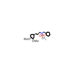 COc1ccc(C=CCN(Cc2ccccc2)S(=O)(=O)C(F)(F)F)cc1OC